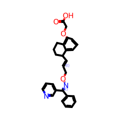 O=C(O)COc1cccc2c1CCCC2/C=C/CO/N=C(/c1ccccc1)c1cccnc1